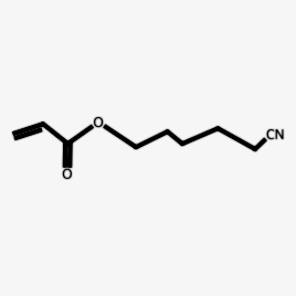 C=CC(=O)OCCCCCC#N